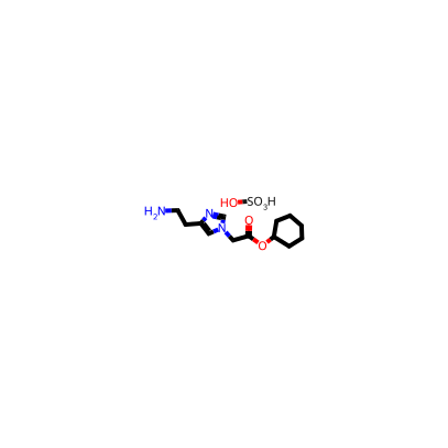 NCCc1cn(CC(=O)OC2CCCCC2)cn1.O=S(=O)(O)O